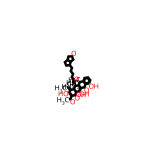 CC(=O)C1=C(O)C(C(C)C)[C@@]2(C)[C@H](CC(=O)CCCCC3CCC4CC(=O)CC34)[C@]3(C)C(=C(O)[C@@]2(O)C1=O)C(=O)c1c(O)cccc1[C@H]3C